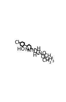 CC(C)(C)OC(=O)N1C[C@@H]2CN(c3ccc(-c4ccc(Cl)cc4O)nn3)C[C@@H]2C1